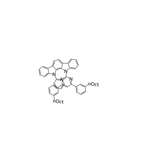 CCCCCCCCc1cccc(-c2cc(-c3cccc(CCCCCCCC)c3)nc(-n3c4ccccc4c4ccc5c6ccccc6n(-c6ccccc6)c5c43)n2)c1